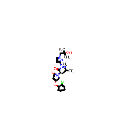 CC(CC(C(=O)Nc1ccn(CC(C)(C)O)n1)N1CC(Oc2ccccc2Cl)=CC1=O)C(F)(F)F